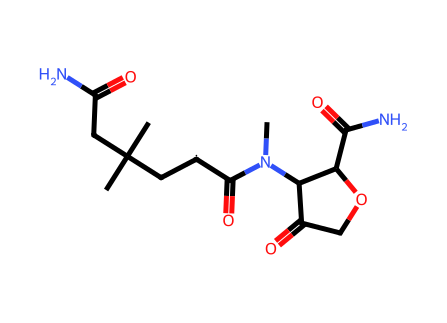 CN(C(=O)[CH]CC(C)(C)CC(N)=O)C1C(=O)COC1C(N)=O